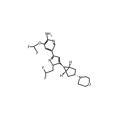 Nc1ncc(-c2cc([C@H]3[C@@H]4C[C@H](N5CCOCC5)C[C@@H]43)n(CC(F)F)n2)cc1OC(F)F